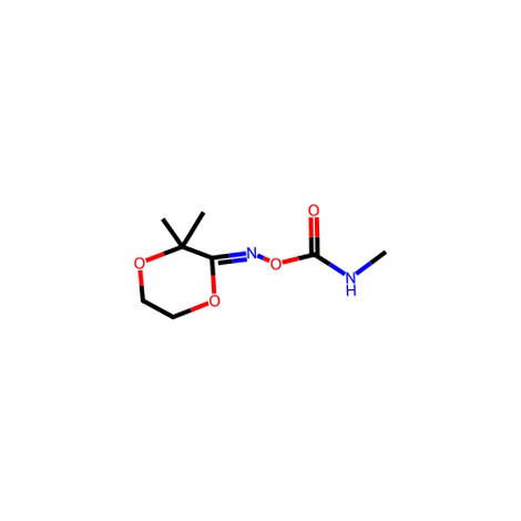 CNC(=O)ON=C1OCCOC1(C)C